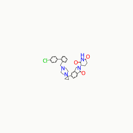 O=C1CCC(N2Cc3cc(C4(N5CCN(Cc6ccccc6-c6ccc(Cl)cc6)CC5)CC4)ccc3C2=O)C(=O)N1